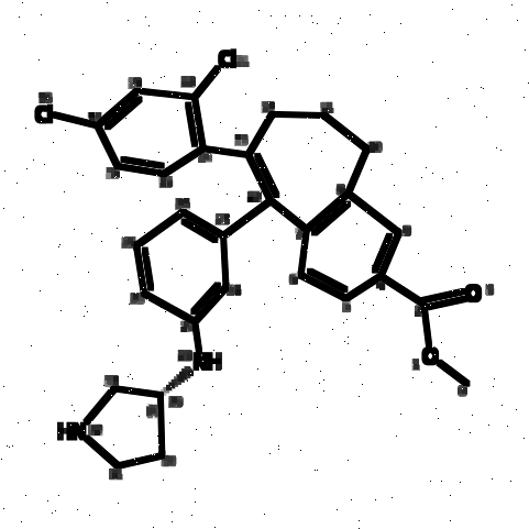 COC(=O)c1ccc2c(c1)CCCC(c1ccc(Cl)cc1Cl)=C2c1cccc(N[C@@H]2CCNC2)c1